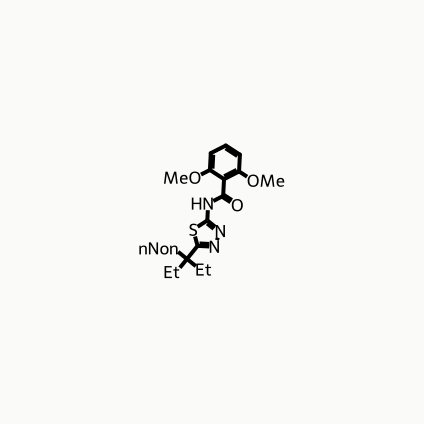 CCCCCCCCCC(CC)(CC)c1nnc(NC(=O)c2c(OC)cccc2OC)s1